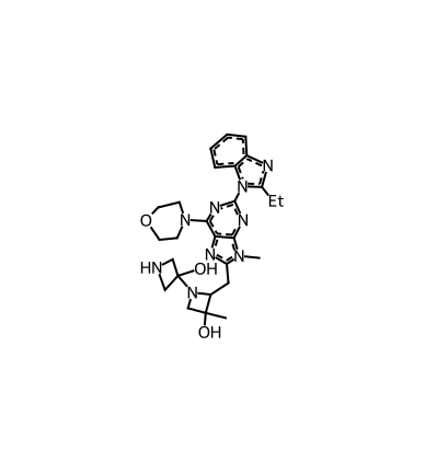 CCc1nc2ccccc2n1-c1nc(N2CCOCC2)c2nc(CC3N(C4(O)CNC4)CC3(C)O)n(C)c2n1